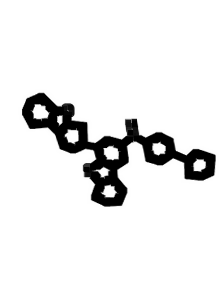 c1ccc(-c2ccc(Nc3cc(-c4ccc5c(c4)oc4ccccc45)c4sc5ccccc5c4c3)cc2)cc1